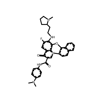 CN(C)c1ccc(NC(=O)c2cn3c4c(c(NCCC5CCCN5C)c(F)cc4c2=O)Oc2c-3ccc3ccccc23)cc1